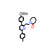 COc1ccc(-c2ccc(-c3ccc(C)cc3)nc2CCN2CCCCCC2=O)cc1